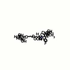 CC(C)c1nc(N(C)S(C)(=O)=O)nc(-c2ccc(F)cc2)c1/C=C/C(O)CC(O)CC(=O)OCCCCOCC(CON(O)O)ON(O)O